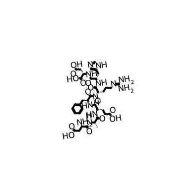 C[C@H](NC(=O)[C@@H](N)CC(=O)O)C(=O)N[C@@H](CCC(=O)O)C(=O)N[C@@H](Cc1ccccc1)C(=O)N[C@@H](CCCN=C(N)N)C(=O)N[C@@H](Cc1cnc[nH]1)C(=O)N[C@@H](CC(=O)O)C(=O)O